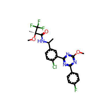 COc1nc(-c2ccc(F)cc2)nc(-c2cc(C(C)NC(=O)[C@@](C)(OC)C(F)(F)F)ccc2Cl)n1